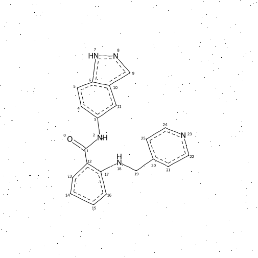 O=C(Nc1ccc2[nH]ncc2c1)c1ccccc1NCc1ccncc1